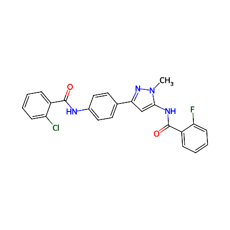 Cn1nc(-c2ccc(NC(=O)c3ccccc3Cl)cc2)cc1NC(=O)c1ccccc1F